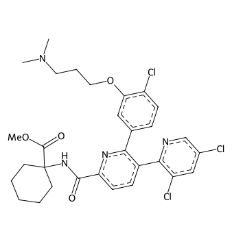 COC(=O)C1(NC(=O)c2ccc(-c3ncc(Cl)cc3Cl)c(-c3ccc(Cl)c(OCCCN(C)C)c3)n2)CCCCC1